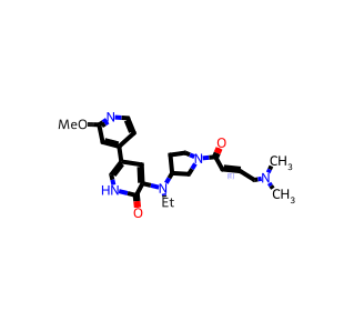 CCN(c1cc(-c2ccnc(OC)c2)c[nH]c1=O)C1CCN(C(=O)/C=C/CN(C)C)C1